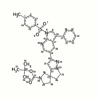 Cc1ccc(S(=O)(=O)n2cc(-c3ccccc3)c3cc(-c4cc5n(n4)CCC54CCN(C(=O)OC(C)(C)C)C4)cnc32)cc1